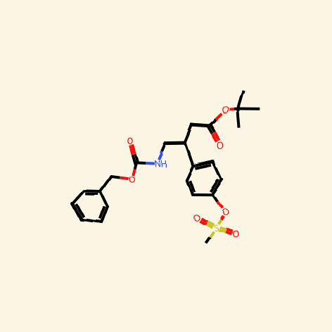 CC(C)(C)OC(=O)CC(CNC(=O)OCc1ccccc1)c1ccc(OS(C)(=O)=O)cc1